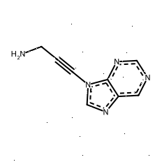 NCC#Cn1cnc2cncnc21